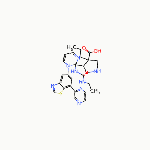 CCCC1(C(=O)O)CCNCC1C1(NC(=O)NCC)N=CC=CN1c1cc(-c2cnccn2)c2scnc2c1